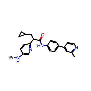 Cc1cc(-c2ccc(NC(=O)C(CC3CC3)c3ccc(NC(C)C)cn3)cc2)ccn1